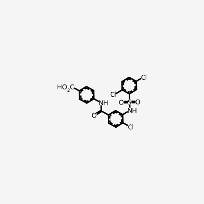 O=C(O)c1ccc(NC(=O)c2ccc(Cl)c(NS(=O)(=O)c3cc(Cl)ccc3Cl)c2)cc1